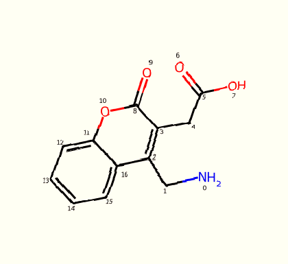 NCc1c(CC(=O)O)c(=O)oc2ccccc12